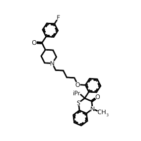 CC(C)C1(c2ccccc2OCCCCN2CCC(C(=O)c3ccc(F)cc3)CC2)Sc2ccccc2N(C)C1=O